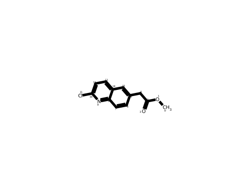 COC(=O)Cc1ccc2nc(Cl)ccc2c1